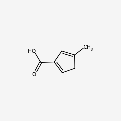 CC1=CC(C(=O)O)=CC1